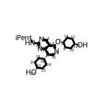 CCCC(C)Nc1ncc2c(O[C@H]3CC[C@H](O)CC3)ncc([C@H]3CC[C@H](O)CC3)c2n1